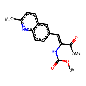 COC(=O)C(=Cc1ccc2nc(OC)ccc2c1)NC(=O)OC(C)(C)C